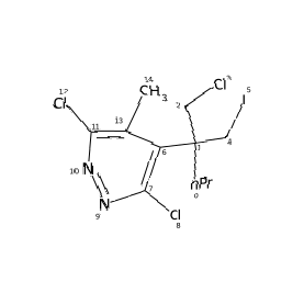 CCCC(CCl)(CI)c1c(Cl)nnc(Cl)c1C